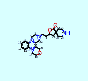 O=C1OC(CCN2CCN(c3ccccc3N3CCOCC3)CC2)CC12CCNCC2